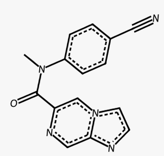 CN(C(=O)c1cn2ccnc2cn1)c1ccc(C#N)cc1